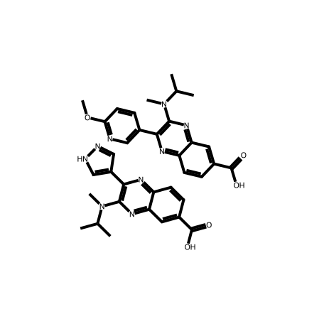 CC(C)N(C)c1nc2cc(C(=O)O)ccc2nc1-c1cn[nH]c1.COc1ccc(-c2nc3ccc(C(=O)O)cc3nc2N(C)C(C)C)cn1